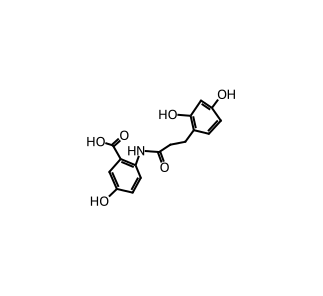 O=C(CCc1ccc(O)cc1O)Nc1ccc(O)cc1C(=O)O